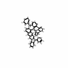 c1ccc(N2c3cccc4c3B(c3c2ccc2cc5cc6c7ccccc7n(-c7ccccc7)c6cc5cc32)n2c3ccccc3c3cccc-4c32)cc1